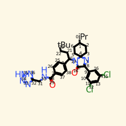 CC(C)C1CCC2(CC1)N=C(c1cc(Cl)cc(Cl)c1)C(=O)N2C(CCC(C)(C)C)c1ccc(C(=O)NCc2nn[nH]n2)cc1